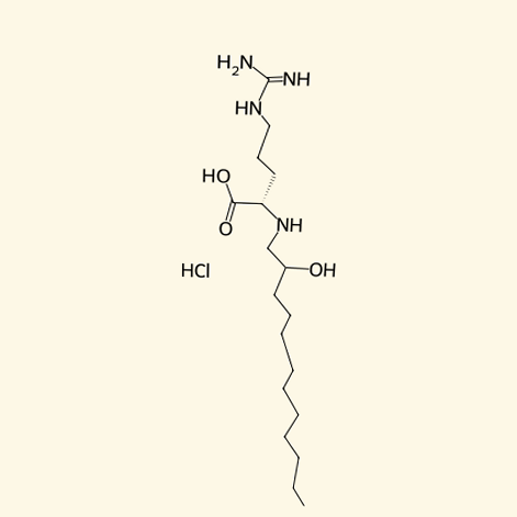 CCCCCCCCCCC(O)CN[C@@H](CCCNC(=N)N)C(=O)O.Cl